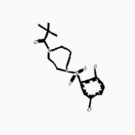 CC(C)(C)C(=O)N1CCN(S(=O)(=O)c2cc(Cl)ccc2Cl)CC1